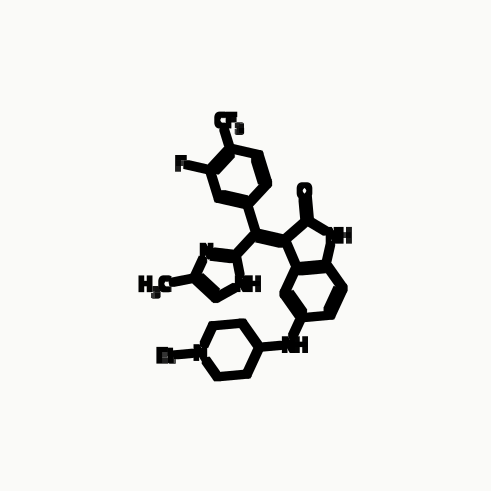 CCN1CCC(Nc2ccc3c(c2)C(=C(c2ccc(C(F)(F)F)c(F)c2)c2nc(C)c[nH]2)C(=O)N3)CC1